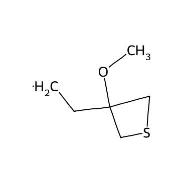 [CH2]CC1(OC)CSC1